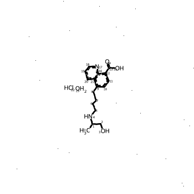 CC(CO)NCCCCc1ccc(C(=O)O)c2ncccc12.Cl.O